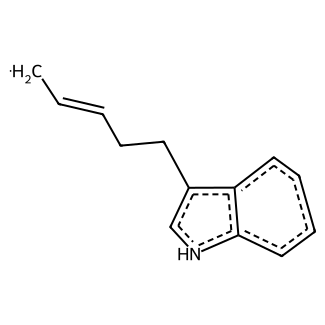 [CH2]C=CCCc1c[nH]c2ccccc12